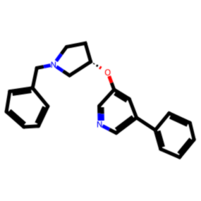 c1ccc(CN2CC[C@H](Oc3cncc(-c4ccccc4)c3)C2)cc1